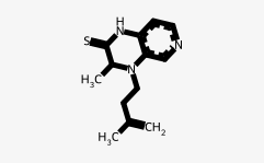 C=C(C)CCN1c2cnccc2NC(=S)C1C